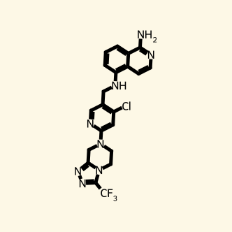 Nc1nccc2c(NCc3cnc(N4CCn5c(nnc5C(F)(F)F)C4)cc3Cl)cccc12